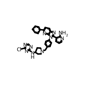 Nc1ncccc1-c1nc2ccc(-c3ccccc3)nc2n1-c1ccc(CN2CCC(Nc3ncnc(Cl)n3)CC2)cc1